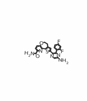 NC(=O)c1ccc2c(n1)-c1sc(-c3ncc(N)nc3-c3ccc(F)cc3F)cc1CCO2